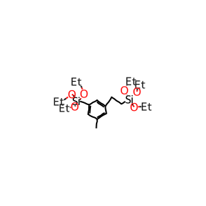 CCO[Si](CCc1cc(C)cc([Si](OCC)(OCC)OCC)c1)(OCC)OCC